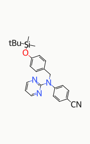 CC(C)(C)[Si](C)(C)Oc1ccc(CN(c2ccc(C#N)cc2)c2ncccn2)cc1